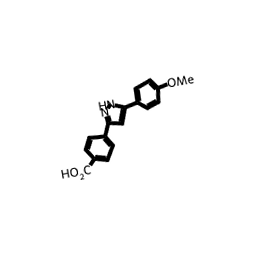 COc1ccc(-c2cc(-c3ccc(C(=O)O)cc3)n[nH]2)cc1